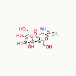 CS[C@H]1OC(CO)[C@@H](C[C@@H]2OC(CO)[C@H](O)[C@H](O)C2O)[C@H](O)C1N